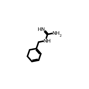 N=C(N)NCC1=CC=CCC1